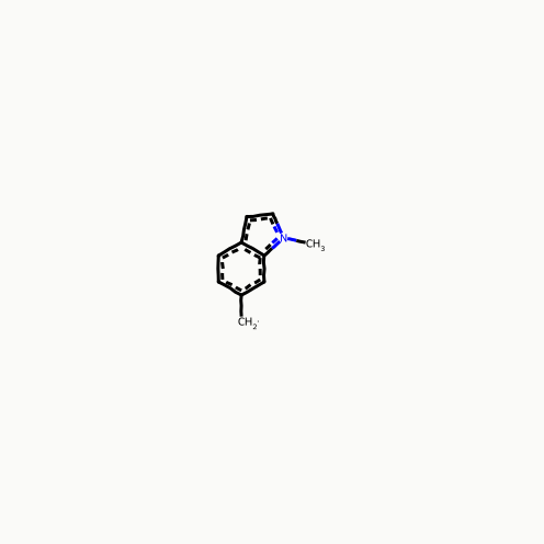 [CH2]c1ccc2ccn(C)c2c1